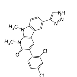 Cn1c(=O)c(-c2ccc(Cl)cc2Cl)cc2c3cc(-c4c[nH]nn4)ccc3n(C)c21